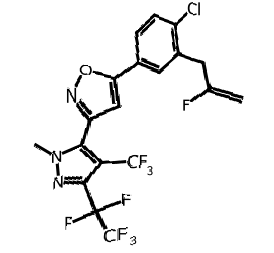 C=C(F)Cc1cc(-c2cc(-c3c(C(F)(F)F)c(C(F)(F)C(F)(F)F)nn3C)no2)ccc1Cl